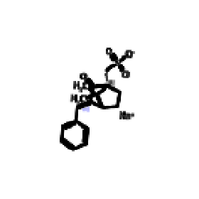 CC1(C)C2CC[C@]1(CS(=O)(=O)[O-])C(=O)/C2=C/c1ccccc1.[Na+]